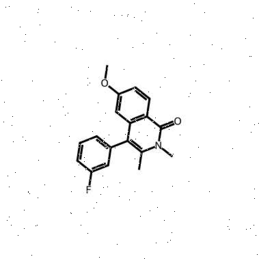 COc1ccc2c(=O)n(C)c(C)c(-c3cccc(F)c3)c2c1